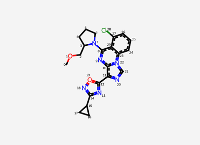 COCC1CCCN1c1nc2c(-c3nc(C4CC4)no3)ncn2c2cccc(Cl)c12